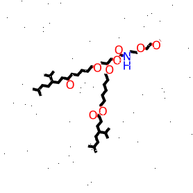 COCCOCCNC(=O)OCC(COCCCCCC(=O)CCC(CCC(C)C)C(C)C)OCCCCCCCOC(=O)CCC(CCC(C)C)C(C)C